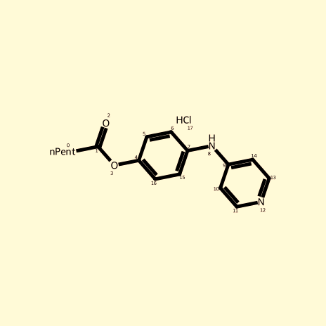 CCCCCC(=O)Oc1ccc(Nc2ccncc2)cc1.Cl